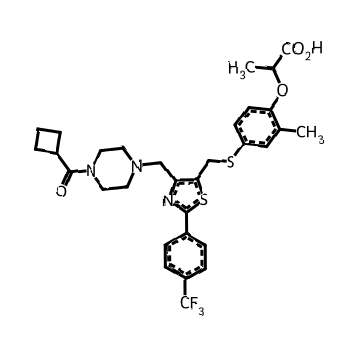 Cc1cc(SCc2sc(-c3ccc(C(F)(F)F)cc3)nc2CN2CCN(C(=O)C3CCC3)CC2)ccc1OC(C)C(=O)O